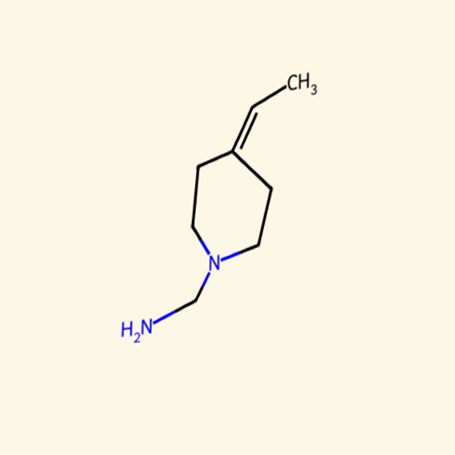 CC=C1CCN(CN)CC1